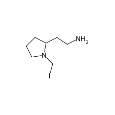 NCCC1CCCN1CI